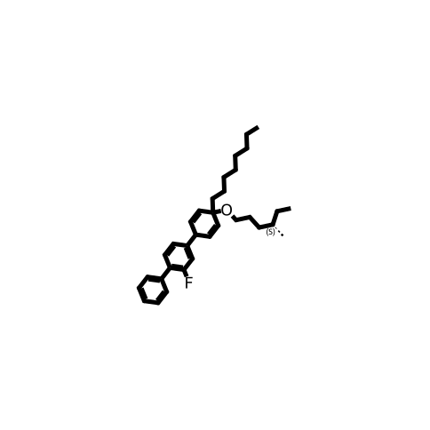 CCCCCCCCC1(OCCC[C@@H](C)CC)C=CC(c2ccc(-c3ccccc3)c(F)c2)C=C1